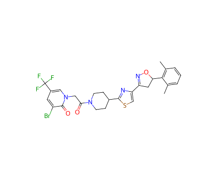 Cc1cccc(C)c1C1CC(c2csc(C3CCN(C(=O)Cn4cc(C(F)(F)F)cc(Br)c4=O)CC3)n2)=NO1